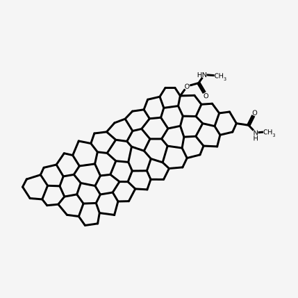 CNC(=O)OC12CCC3CC4CC5CC6CC7CC8CC9CC%10CCCC%11CC%12CC%13CCC%14CC%15CC%16CC%17CC%18CC%19CC%20CC%21CC(C(=O)NC)CC%22CC(C1)C1C(C%21%22)C%20C%20C%19C%19C%18C%18C%17C%17C%16C%16C%15C%15C%14C%13C%13C%12C(C%11%10)C9C9C8C8C7C7C6C6C5C5C4C4C(C%19C5C%18C6C%17C7C%16C8C%15C%139)C%20C1C2C34